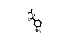 CC(C)OC(=O)C1CCC[C@H](N)C1